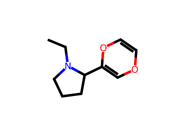 CCN1CCCC1C1=COC=CO1